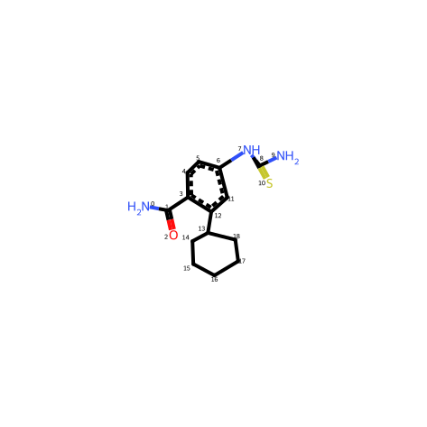 NC(=O)c1ccc(NC(N)=S)cc1C1CCCCC1